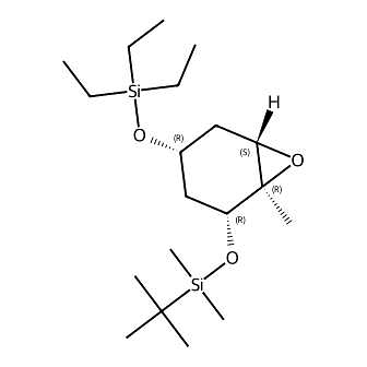 CC[Si](CC)(CC)O[C@@H]1C[C@@H]2O[C@@]2(C)[C@H](O[Si](C)(C)C(C)(C)C)C1